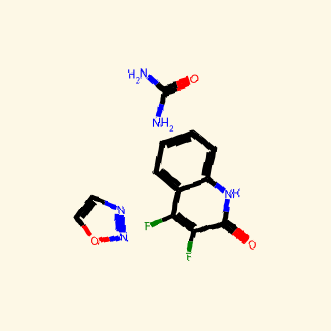 NC(N)=O.O=c1[nH]c2ccccc2c(F)c1F.c1conn1